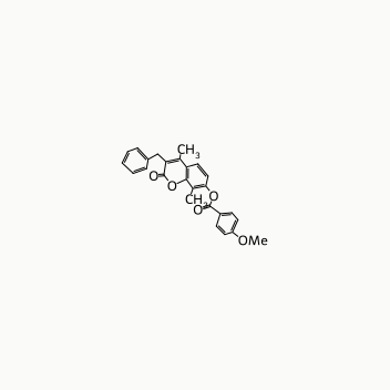 COc1ccc(C(=O)Oc2ccc3c(C)c(Cc4ccccc4)c(=O)oc3c2C)cc1